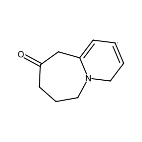 O=C1CCCN2CC=[C]C=C2C1